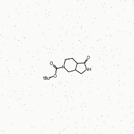 CC(C)(C)OC(=O)N1CCC2C(=O)NCC2C1